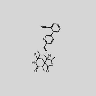 C[C@H]1OC(=O)C23CC(F)(NC(=O)[C@@H]2C)[C@@H](C)[C@H](/C=C/c2ccc(-c4ccccc4C#N)cn2)[C@H]13